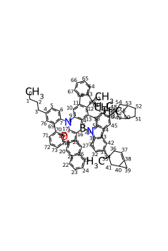 CCCCc1ccc(N2c3cc4c(c5c3B(c3c2oc2cc6ccccc6cc32)n2c3ccc(C6(C)CC=C7CC7C6)cc3c3cc(C6(C)CC7CCC(C6)C7C)cc-5c32)C(C)(C)c2ccccc2-4)c(-c2ccccc2)c1